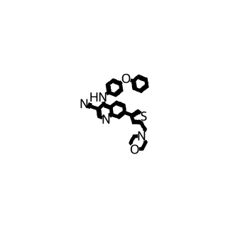 N#Cc1cnc2cc(-c3csc(CN4CCOCC4)c3)ccc2c1Nc1ccc(Oc2ccccc2)cc1